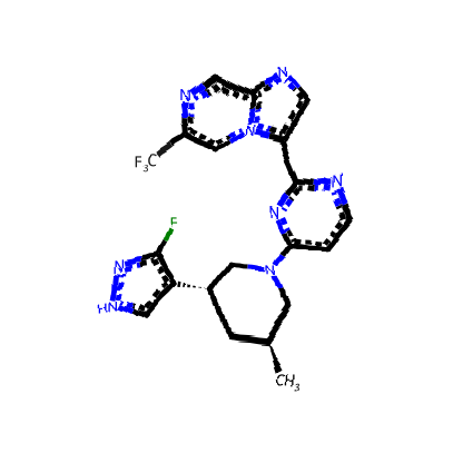 C[C@H]1C[C@H](c2c[nH]nc2F)CN(c2ccnc(-c3cnc4cnc(C(F)(F)F)cn34)n2)C1